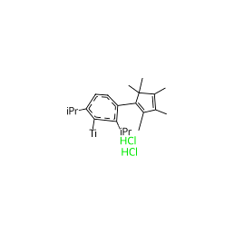 CC1=C(C)C(C)(C)C(c2ccc(C(C)C)[c]([Ti])c2C(C)C)=C1C.Cl.Cl